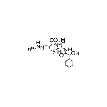 CCCN/N=C/C1=C(C(=O)O)N2C(=O)C(NC(=O)C(O)c3ccccc3)[C@H]2SC1